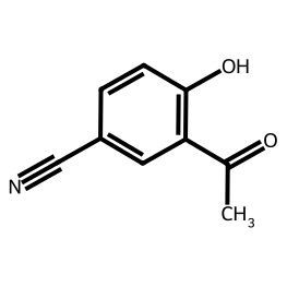 CC(=O)c1cc(C#N)ccc1O